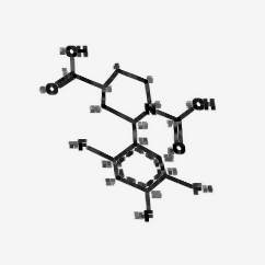 O=C(O)C1CCN(C(=O)O)C(c2cc(F)c(F)cc2F)C1